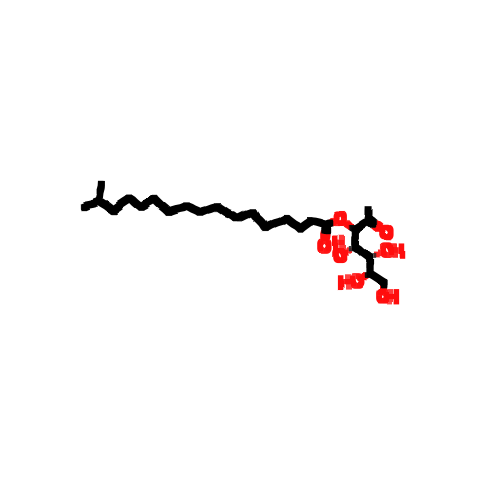 CC(=O)[C@H](OC(=O)CCCCCCCCCCCCCCC(C)C)[C@@H](O)[C@H](O)[C@H](O)CO